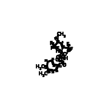 C/N=C(\C=C(/NS(=O)(=O)NS(=O)(=O)C1=C/C=C(/C)C(C)C\C=C\1)C(F)(F)F)C(F)(F)F